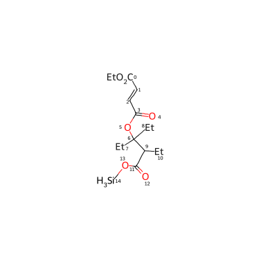 CCOC(=O)/C=C/C(=O)OC(CC)(CC)C(CC)C(=O)O[SiH3]